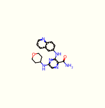 NC(=O)c1ncc(NC2CCOCC2)nc1Nc1ccc2ncccc2c1